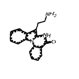 NCCc1c2ccccc2n2c1[nH]c(=O)c1ccccc12